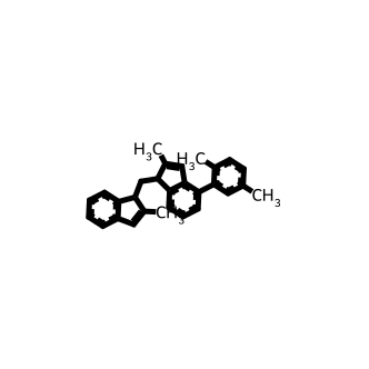 CC1=Cc2ccccc2C1CC1C(C)=Cc2c(-c3cc(C)ccc3C)cccc21